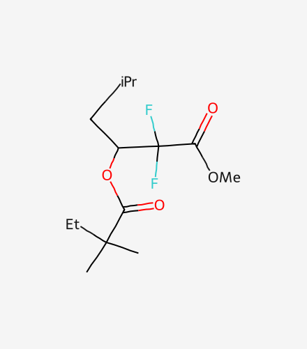 CCC(C)(C)C(=O)OC(CC(C)C)C(F)(F)C(=O)OC